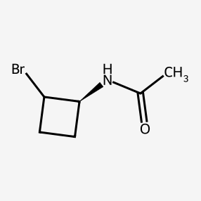 CC(=O)N[C@H]1CCC1Br